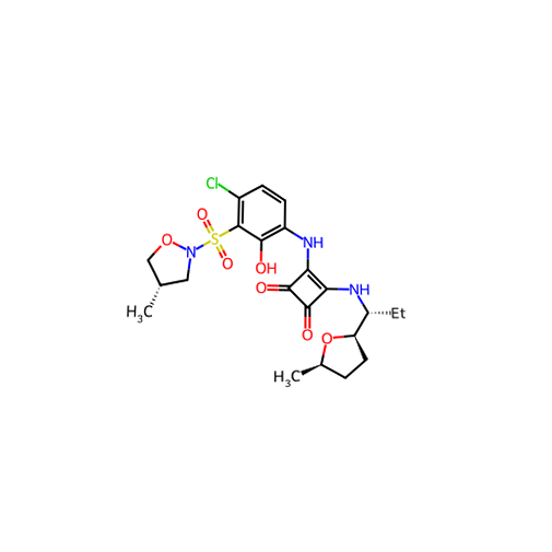 CC[C@@H](Nc1c(Nc2ccc(Cl)c(S(=O)(=O)N3C[C@H](C)CO3)c2O)c(=O)c1=O)[C@H]1CC[C@@H](C)O1